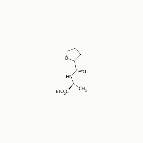 CCOC(=O)[C@H](C)NC(=O)C1CCCO1